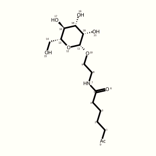 CC(=O)CCCCC(=O)NCCO[C@@H]1O[C@H](CO)[C@@H](O)[C@H](O)[C@@H]1O